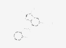 CCc1ccccc1CN(C)c1cc(C(=O)O)cn2c(C)c(C)nc12